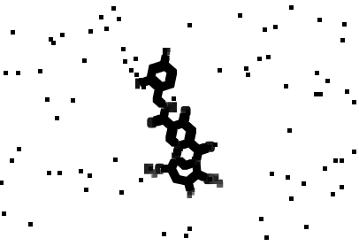 CC1C(F)CC(C)N2CN1C(=O)c1cc(=O)c(C(=O)NCc3ccc(F)cc3F)cn12